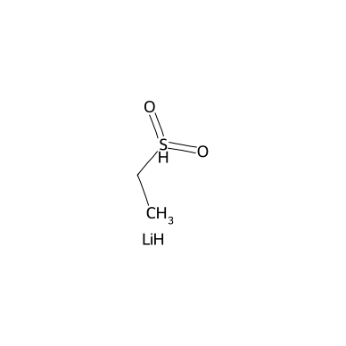 CC[SH](=O)=O.[LiH]